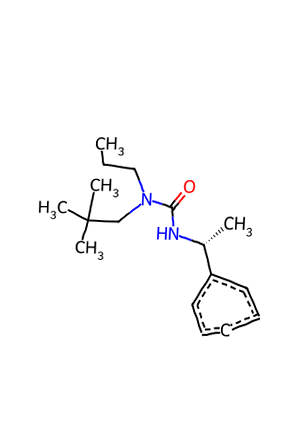 CCCN(CC(C)(C)C)C(=O)N[C@H](C)c1ccccc1